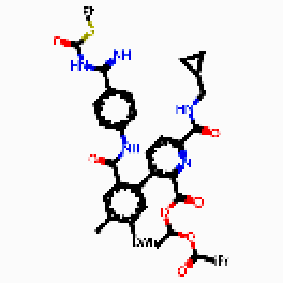 CCSC(=O)NC(=N)c1ccc(NC(=O)c2cc(C)c(OC)cc2-c2ccc(C(=O)NCC3CC3)nc2C(=O)OC(C)OC(=O)C(C)C)cc1